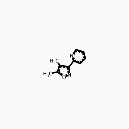 Cc1onc(-c2ccccn2)c1C